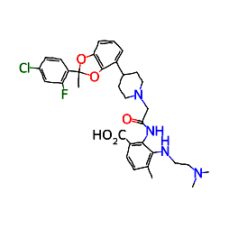 Cc1ccc(C(=O)O)c(NC(=O)CN2CCC(c3cccc4c3OC(C)(c3ccc(Cl)cc3F)O4)CC2)c1NCCN(C)C